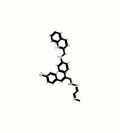 C/N=C\C=N/NC/C(=C/c1ccc(Cl)cc1)c1ccc(OCc2ccc3ccccc3n2)cc1